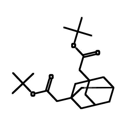 CC(C)(C)OC(=O)CC12CC3CC(C1)CC(CC(=O)OC(C)(C)C)(C3)C2